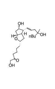 CCCCC(C)(O)CC=C[C@@H]1[C@H]2C[C@H](CCCCC(=O)CO)O[C@@H]2C[C@H]1O